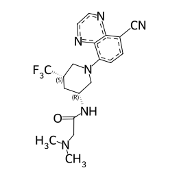 CN(C)CC(=O)N[C@@H]1C[C@H](C(F)(F)F)CN(c2ccc(C#N)c3nccnc23)C1